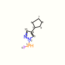 IPn1cc(C2CCCC2)cn1